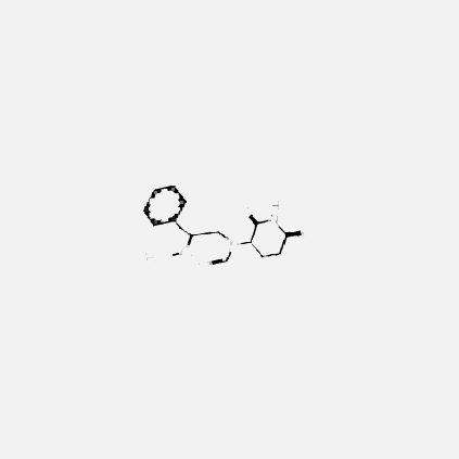 COC(CN(C=O)C1CCC(=O)NC1=O)c1ccccc1